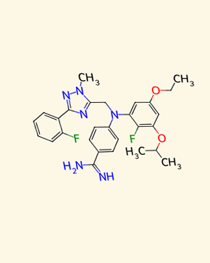 CCOc1cc(OC(C)C)c(F)c(N(Cc2nc(-c3ccccc3F)nn2C)c2ccc(C(=N)N)cc2)c1